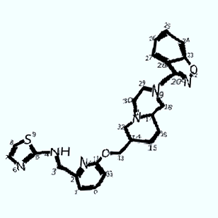 c1cc(CNc2nccs2)nc(OCC2CCC3CN(c4noc5ccccc45)CCN3C2)c1